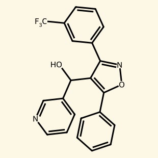 OC(c1cccnc1)c1c(-c2cccc(C(F)(F)F)c2)noc1-c1ccccc1